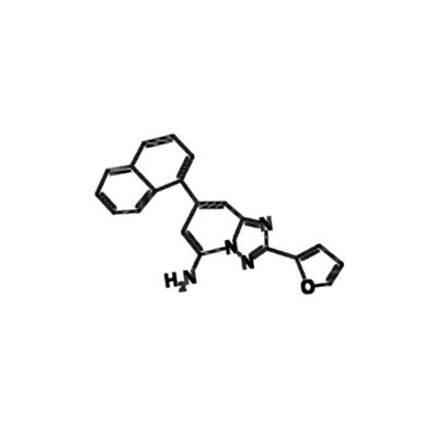 Nc1cc(-c2cccc3ccccc23)cc2nc(-c3ccco3)nn12